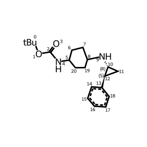 CC(C)(C)OC(=O)NC1CCC(N[C@@H]2C[C@H]2c2ccccc2)CC1